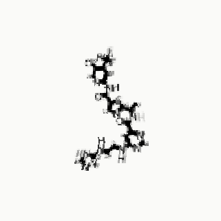 CC(NC(=O)c1cc(NCCNc2nnc[nH]2)ncn1)c1ncc(C(=O)Nc2cc(C(F)(F)F)c(Cl)cn2)s1